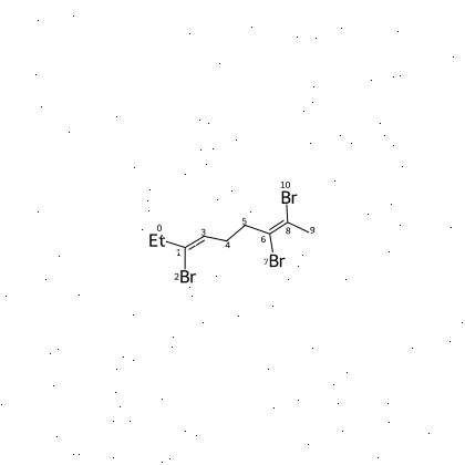 CC/C(Br)=C/CC/C(Br)=C(/C)Br